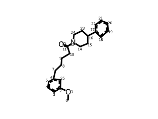 COc1cccc(CCCCC(=O)N2CCC(c3ccccc3)CC2)c1